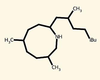 CCC(C)CCC(C)CC1CCC(C)CCC(C)CN1